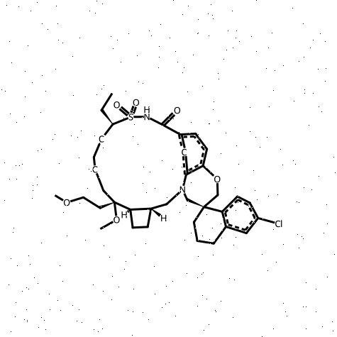 CC[C@@H]1CCCC[C@@](CCOC)(OC)[C@@H]2CC[C@H]2CN2C[C@@]3(CCCc4cc(Cl)ccc43)COc3ccc(cc32)C(=O)NS1(=O)=O